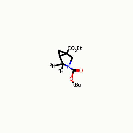 [2H]C1([2H])C2CC2(C(=O)OCC)CN1C(=O)OC(C)(C)C